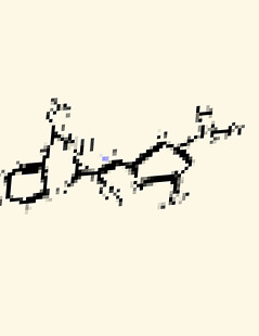 CCCNc1cc(Br)nc(/C=C(\C#N)C(=O)NC(CCC)c2ccccc2)c1